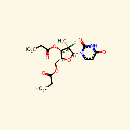 C[C@@]1(F)[C@H](OC(=O)CC(=O)O)[C@@H](COC(=O)CC(=O)O)O[C@H]1n1ccc(=O)[nH]c1=O